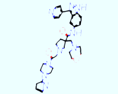 O=C(CN1CCC(CN2CCOCC2)(C(=O)Nc2ccc3[nH]nc(-c4ccncc4)c3c2)C1)N1CCN(C2=NC=CC2)CC1